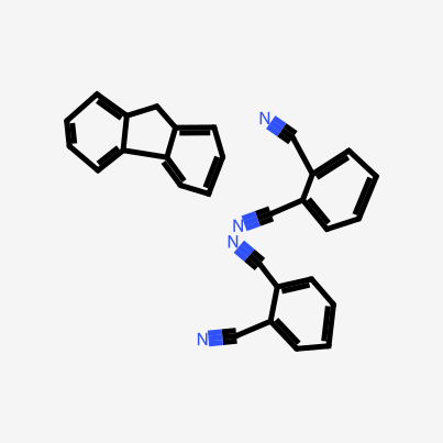 N#Cc1ccccc1C#N.N#Cc1ccccc1C#N.c1ccc2c(c1)Cc1ccccc1-2